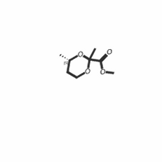 COC(=O)C1(C)OCC[C@H](C)O1